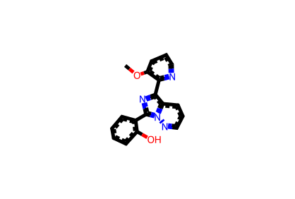 COc1cccnc1-c1nc(-c2ccccc2O)n2ncccc12